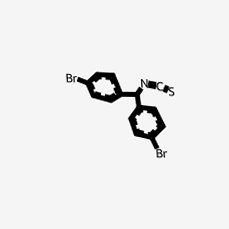 S=C=NC(c1ccc(Br)cc1)c1ccc(Br)cc1